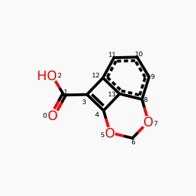 O=C(O)C1=C2OCOc3cccc1c32